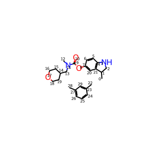 CC1CNc2ccc(OC(=O)N(C)CC3CCOCC3)cc21.Cc1cccc(C)c1